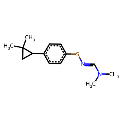 CN(C)/C=N/Sc1ccc(C2CC2(C)C)cc1